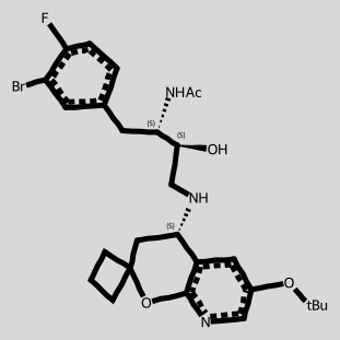 CC(=O)N[C@@H](Cc1ccc(F)c(Br)c1)[C@@H](O)CN[C@H]1CC2(CCC2)Oc2ncc(OC(C)(C)C)cc21